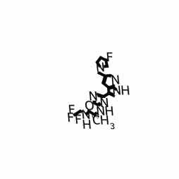 C[C@@H](Nc1cncc(-c2c[nH]c3ncc(CN4CCC(F)C4)cc23)n1)C(=O)NCC(F)(F)F